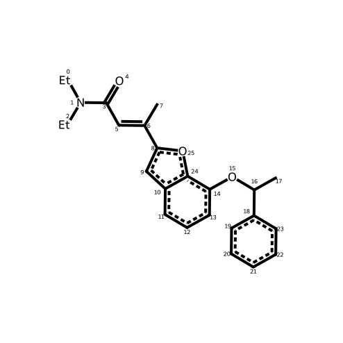 CCN(CC)C(=O)/C=C(\C)c1cc2cccc(OC(C)c3ccccc3)c2o1